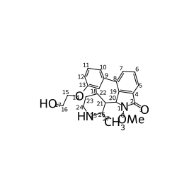 CON1C(=O)c2cccc(-c3cccc(OCCO)c3)c2C1C1CCCNC1C